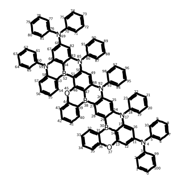 c1ccc(N(c2ccccc2)c2cc3c4c(c2)N(c2ccccc2)c2cc5c(cc2B4c2ccccc2O3)B2c3ccccc3Oc3c2c(cc2c3B3c4ccccc4N(c4ccccc4)c4cc(N(c6ccccc6)c6ccccc6)cc(c43)N2c2ccccc2)N5c2ccccc2)cc1